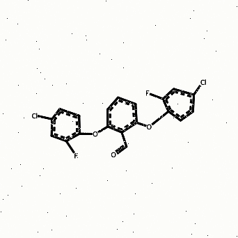 O=Cc1c(Oc2ccc(Cl)cc2F)cccc1Oc1ccc(Cl)cc1F